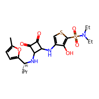 CCN(CC)S(=O)(=O)c1scc(NC2C(=O)C(=O)C2N[C@@H](c2ccc(C)o2)C(C)C)c1O